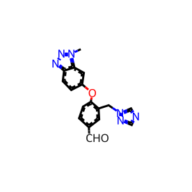 Cn1nnc2ccc(Oc3ccc(C=O)cc3Cn3cncn3)cc21